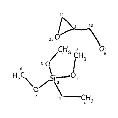 CC[Si](OC)(OC)OC.[O]CC1CO1